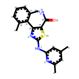 Cc1cc(C)nc(Nc2nc(-c3c(C)cccc3C)c(C(N)=O)s2)c1